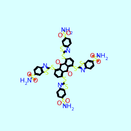 NS(=O)(=O)c1ccc2nc(Sc3ccc(Sc4nc5ccc(S(N)(=O)=O)cc5s4)c4c3C(=O)c3c(Sc5nc6ccc(S(N)(=O)=O)cc6s5)ccc(Sc5nc6ccc(S(N)(=O)=O)cc6s5)c3C4=O)sc2c1